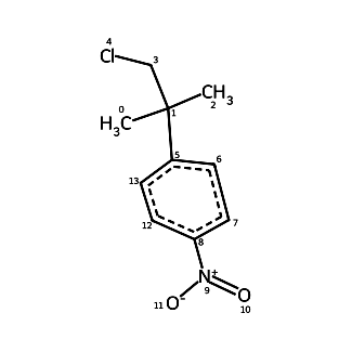 CC(C)(CCl)c1ccc([N+](=O)[O-])cc1